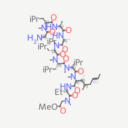 C/C=C/C[C@@H](C)[C@@H](C)[C@@H](C(=O)N[C@@H](CC)C(=O)N(C)CC(=O)OC)N(C)C(=O)[C@H](C(C)C)N(C)C(=O)[C@H](CC(C)C)N(C)C(=O)[C@H](CC(C)C)N(C)C(=O)[C@@H](C)NC(=O)[C@H](C)NC(=O)[C@H](CC(C)C)N(C)C(=O)[C@@H](N)C(C)C